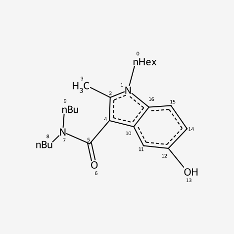 CCCCCCn1c(C)c(C(=O)N(CCCC)CCCC)c2cc(O)ccc21